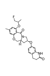 Cc1cc2c(c(OC(C)CF)c1)C(=O)N1C[C@@H](Oc3ccc4c(c3)NC(=O)CC4)C[C@@H]1CO2